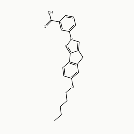 CCCCCOc1ccc2c(c1)Cc1cn(-c3cccc(C(=O)O)c3)nc1-2